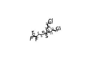 FC(F)=C(F)CCSC(=S)N(CC=CCl)CC=CCl